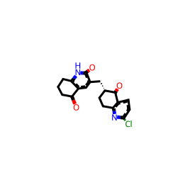 O=C1CCCc2[nH]c(=O)c(C[C@H]3CCc4nc(Cl)ccc4C3=O)cc21